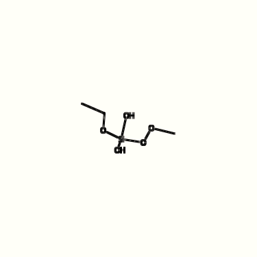 CCO[Si](O)(O)OOC